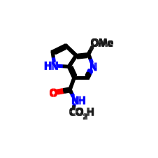 COc1ncc(C(=O)NC(=O)O)c2[nH]ccc12